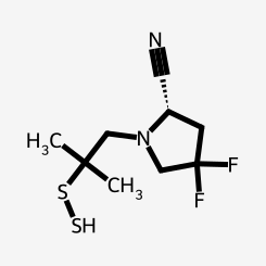 CC(C)(CN1CC(F)(F)C[C@H]1C#N)SS